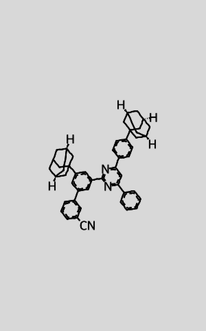 N#Cc1cccc(-c2cc(-c3nc(-c4ccccc4)cc(-c4ccc(C56C[C@H]7C[C@@H](C5)C[C@@H](C6)C7)cc4)n3)cc(C34CC5C[C@H](C3)C[C@@H](C5)C4)c2)c1